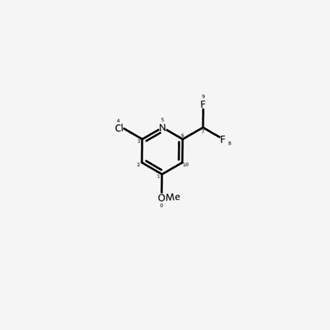 COc1cc(Cl)nc(C(F)F)c1